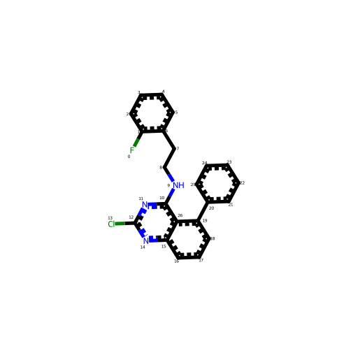 Fc1ccccc1CCNc1nc(Cl)nc2cccc(-c3ccccc3)c12